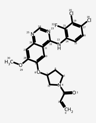 C=CC(=O)N1CCC(Oc2cc3c(Nc4ccc(Cl)c(Cl)c4F)ncnc3cc2OC)C1